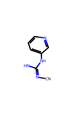 N#C/N=C(/[NH])Nc1cccnc1